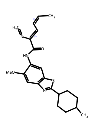 C=N/C(=C\C=C/C)C(=O)Nc1cc2sc(C3CCC(C)CC3)nc2cc1OC